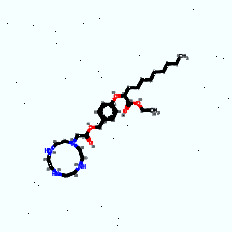 CCCCCCCCCC(Oc1ccc(COC(=O)CN2CCNCCNCCNCC2)cc1)C(=O)OCC